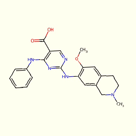 COc1cc2c(cc1Nc1ncc(C(=O)O)c(Nc3ccccc3)n1)CN(C)CC2